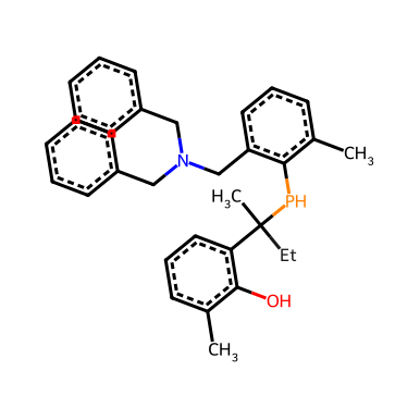 CCC(C)(Pc1c(C)cccc1CN(Cc1ccccc1)Cc1ccccc1)c1cccc(C)c1O